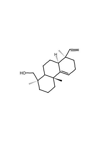 C=C[C@@]1(C)CCC=C2[C@H]1CCC1[C@](C)(CO)CCC[C@@]21C